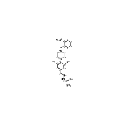 COc1ccccc1CN1CCN(c2c(F)cc(/C=N/NC(N)=S)cc2F)CC1